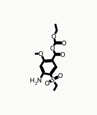 CCOC(=O)OC(=O)c1cc(S(=O)(=O)CC)c(N)cc1OC